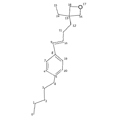 CCCCCc1ccc(/C=C/CCC2(CC)COC2)cc1